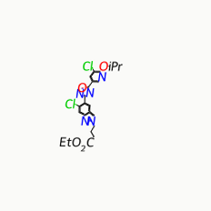 CCOC(=O)CCCn1cc2cc(-c3noc(-c4cnc(OC(C)C)c(Cl)c4)n3)c(Cl)cc2n1